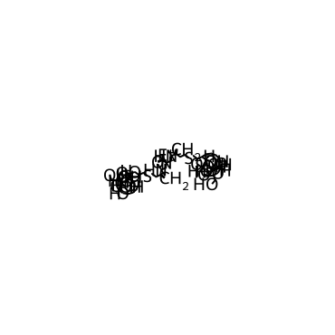 C=C(CCSCC1O[C@@H]2OC3C(CO)O[C@H](OCCCCC1[C@H](O)C2O)C(O)[C@H]3O)NCN(CNC(=C)CCSCC1O[C@@H]2OC3C(CO)O[C@H](OCCCCC1[C@H](O)C2O)C(O)[C@H]3O)C(=O)CC